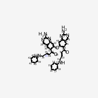 Nc1ncc2cc(C(=O)C=CCNc3ccccc3)c(Oc3cc4nc(N)ncc4cc3C(=O)/C=C/CNc3ccccc3)cc2n1